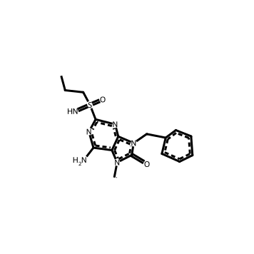 [CH2]n1c(=O)n(Cc2ccccc2)c2nc(S(=N)(=O)CCC)nc(N)c21